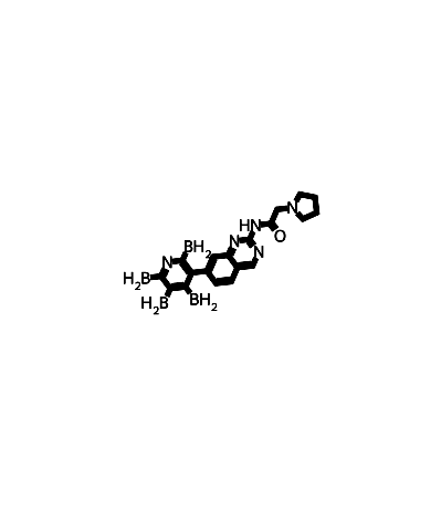 Bc1nc(B)c(-c2ccc3cnc(NC(=O)CN4CCCC4)nc3c2)c(B)c1B